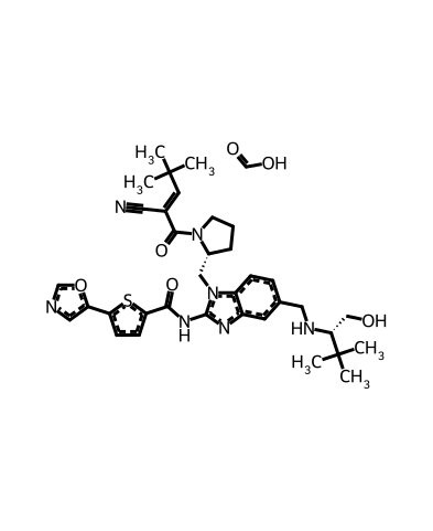 CC(C)(C)/C=C(\C#N)C(=O)N1CCC[C@@H]1Cn1c(NC(=O)c2ccc(-c3cnco3)s2)nc2cc(CN[C@H](CO)C(C)(C)C)ccc21.O=CO